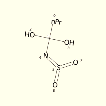 CCCC(O)(O)N=S(=O)=O